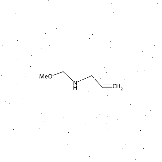 C=CCNCOC